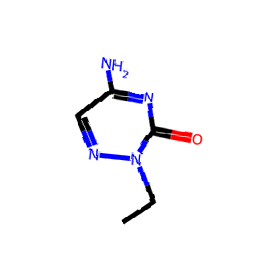 CCn1ncc(N)nc1=O